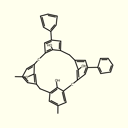 Cc1cc2c(O)c(c1)Cc1cc(-c3ccccc3)cc(c1O)Cc1cc(-c3ccccc3)cc(c1O)Cc1cc(C)cc(c1O)C2